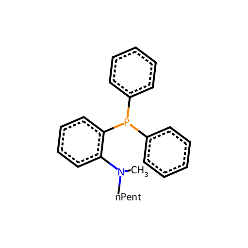 CCCCCN(C)c1ccccc1P(c1ccccc1)c1ccccc1